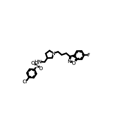 O=S(=O)(NCC1CCN(CCCc2noc3cc(F)ccc23)C1)c1ccc(Cl)cc1